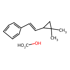 CC1(C)CC1C=Cc1ccccc1.O=C(O)O